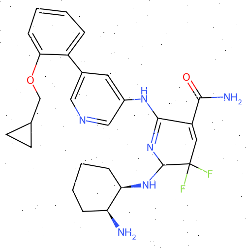 NC(=O)C1=CC(F)(F)C(N[C@@H]2CCCC[C@@H]2N)N=C1Nc1cncc(-c2ccccc2OCC2CC2)c1